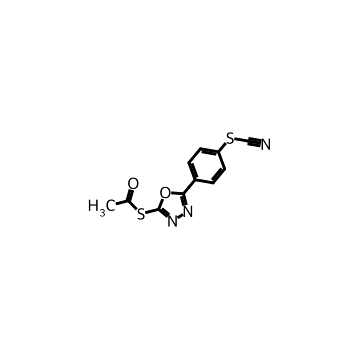 CC(=O)Sc1nnc(-c2ccc(SC#N)cc2)o1